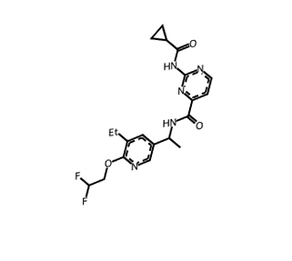 CCc1cc(C(C)NC(=O)c2ccnc(NC(=O)C3CC3)n2)cnc1OCC(F)F